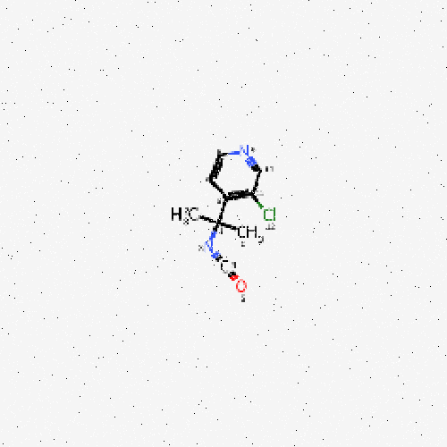 CC(C)(N=C=O)c1ccncc1Cl